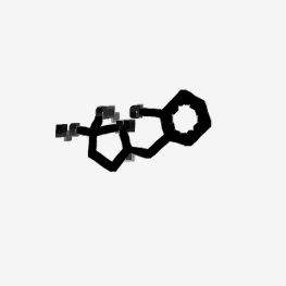 CC1(C)CC[C@H](Cc2ccccc2Cl)N1